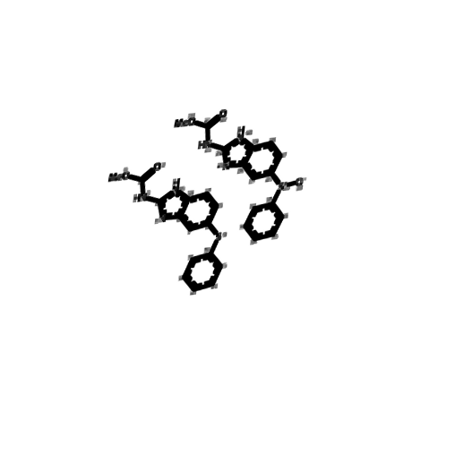 COC(=O)Nc1nc2cc(Sc3ccccc3)ccc2[nH]1.COC(=O)Nc1nc2cc([S+]([O-])c3ccccc3)ccc2[nH]1